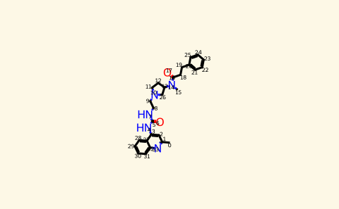 Cc1cc(NC(=O)NCCN2CCC(N(C)C(=O)CCc3ccccc3)C2)c2ccccc2n1